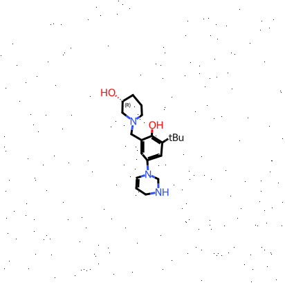 CC(C)(C)c1cc(N2C=CCNC2)cc(CN2CCC[C@@H](O)C2)c1O